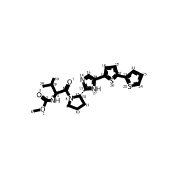 COC(=O)NC(C(=O)N1CCC[C@H]1c1ncc(-c2ccc(-c3cccs3)s2)[nH]1)C(C)C